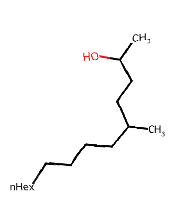 CCCCCCCCCCC(C)CCC(C)O